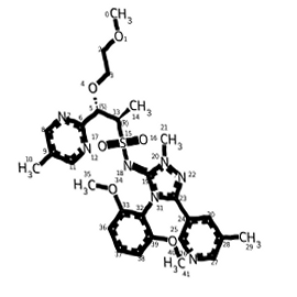 COCCO[C@@H](c1ncc(C)cn1)[C@@H](C)S(=O)(=O)N=c1n(C)nc(-c2cncc(C)c2)n1-c1c(OC)cccc1OC